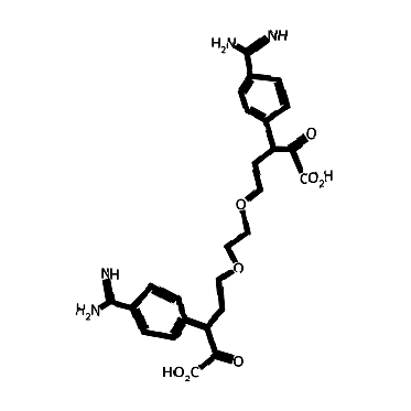 N=C(N)c1ccc(C(CCOCCOCCC(C(=O)C(=O)O)c2ccc(C(=N)N)cc2)C(=O)C(=O)O)cc1